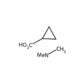 CNC.O=C(O)C1CC1